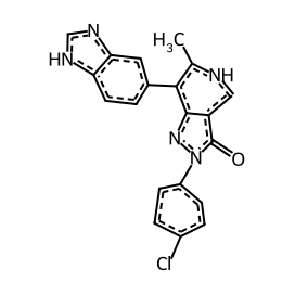 Cc1[nH]cc2c(=O)n(-c3ccc(Cl)cc3)nc-2c1-c1ccc2[nH]cnc2c1